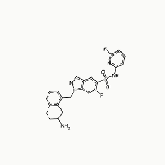 NC1CCc2cccc(Cn3ncc4cc(S(=O)(=O)Nc5cccc(F)n5)c(F)cc43)c2C1